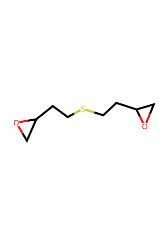 C(CC1CO1)SCCC1CO1